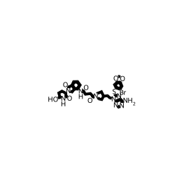 Nc1ncnc2c1nc(Sc1cc3c(cc1Br)OCO3)n2CCC1CCN(C(=O)CCC(=O)Nc2cccc3c2CN(C2CCC(O)NC2=O)C3=O)CC1